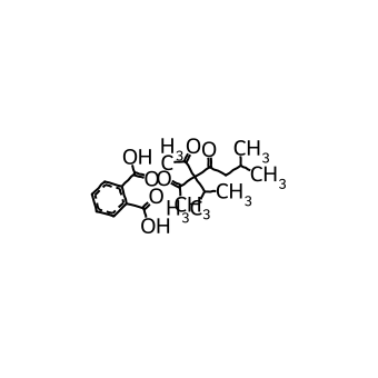 CC(=O)C(C(C)=O)(C(=O)CC(C)C)C(C)C.O=C(O)c1ccccc1C(=O)O